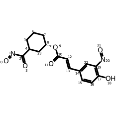 O=NC(=O)C1CCC[C@H](OC(=O)/C=C/c2ccc(O)c(N=O)c2)C1